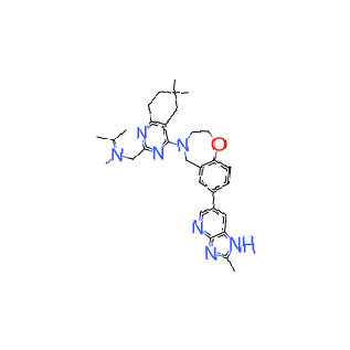 Cc1nc2ncc(-c3ccc4c(c3)CN(c3nc(CN(C)C(C)C)nc5c3CC(C)(C)CC5)CCO4)cc2[nH]1